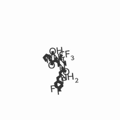 NC(CC(=O)N1CCn2c(C(F)(F)F)nc(C(=O)N3CCC[C@H]3CO)c2C1)Cc1cc(F)c(F)cc1F